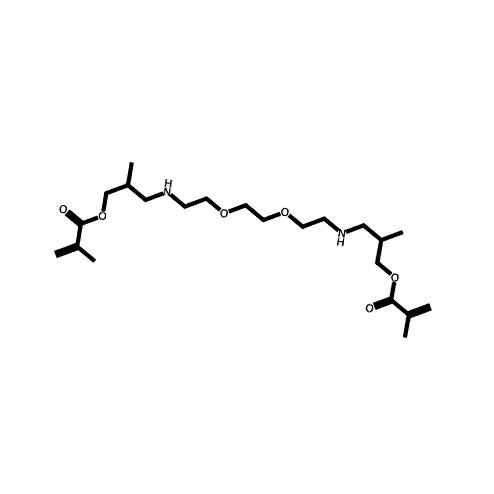 C=C(C)C(=O)OCC(C)CNCCOCCOCCNCC(C)COC(=O)C(=C)C